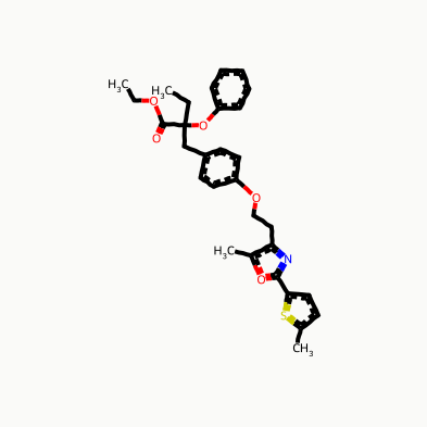 CCOC(=O)C(CC)(Cc1ccc(OCCc2nc(-c3ccc(C)s3)oc2C)cc1)Oc1ccccc1